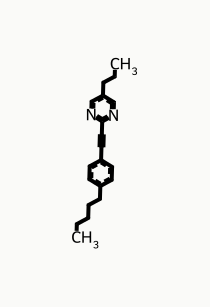 CCCCCc1ccc(C#Cc2ncc(CCC)cn2)cc1